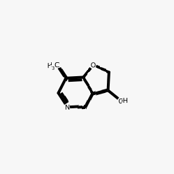 CC1=C2OCC(O)C2CN=C1